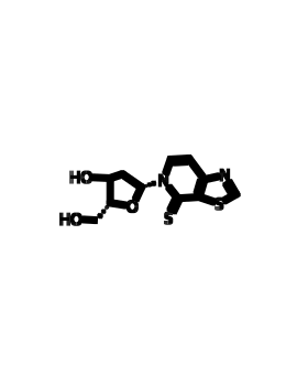 OC[C@H]1O[C@@H](n2ccc3ncsc3c2=S)CC1O